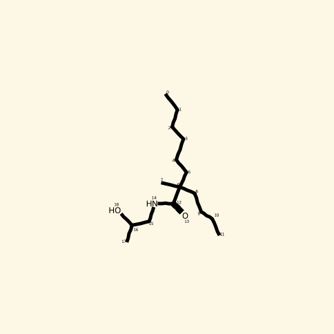 CCCCCCC(C)(CCCC)C(=O)NCC(C)O